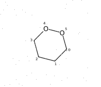 [CH]1CCCOO1